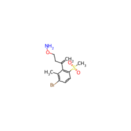 C=C(CCON)c1c(S(C)(=O)=O)ccc(Br)c1C